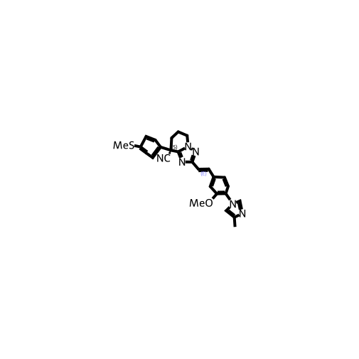 COc1cc(/C=C/c2nc3n(n2)CCC[C@@]3(C#N)c2ccc(SC)cc2)ccc1-n1cnc(C)c1